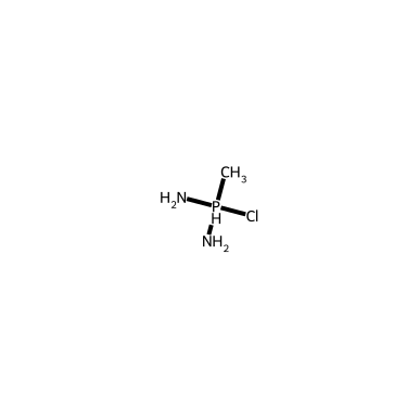 C[PH](N)(N)Cl